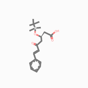 CC(C)(C)[Si](C)(C)O[C@@H](CC(=O)O)CC(=O)C=Cc1ccccc1